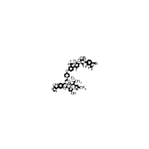 Cc1cc(C(C(=O)N2C[C@H](O)C[C@H]2C(=O)N[C@@H](CC(=O)N2CCC(Oc3ccc(-c4ncc(N5C(=S)N(c6ccc(C#N)c(C(F)(F)F)c6F)C(=O)C5(C)C)cc4F)c(C(F)(F)F)c3)CC2)c2ccc(-c3scnc3C)cc2)C(C)C)on1